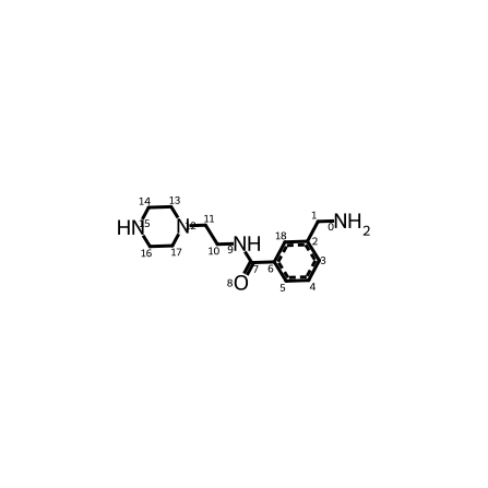 NCc1cccc(C(=O)NCCN2CCNCC2)c1